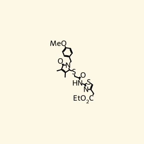 CCOC(=O)Cc1csc(NC(=O)CSC2C(C)=C(C)C(=O)N2Cc2ccc(OC)cc2)n1